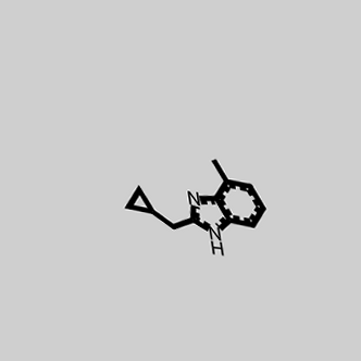 Cc1cccc2[nH]c(CC3CC3)nc12